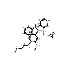 COCCOc1ccc(C(OCC2CO2)P(=O)(c2ccccc2)c2ccccc2)cc1OC